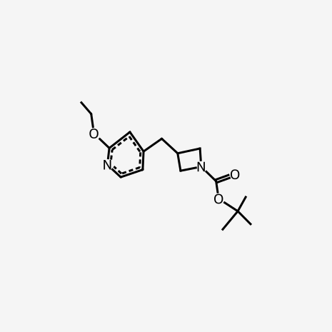 CCOc1cc(CC2CN(C(=O)OC(C)(C)C)C2)ccn1